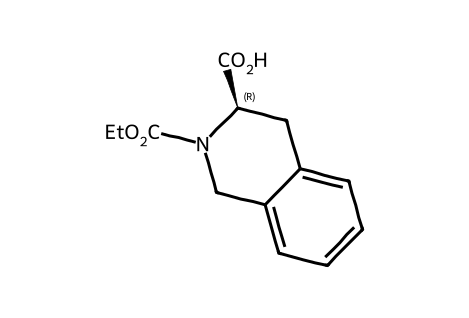 CCOC(=O)N1Cc2ccccc2C[C@@H]1C(=O)O